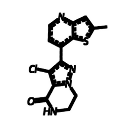 Cc1cc2nccc(-c3nn4c(c3Cl)C(=O)NCC4)c2s1